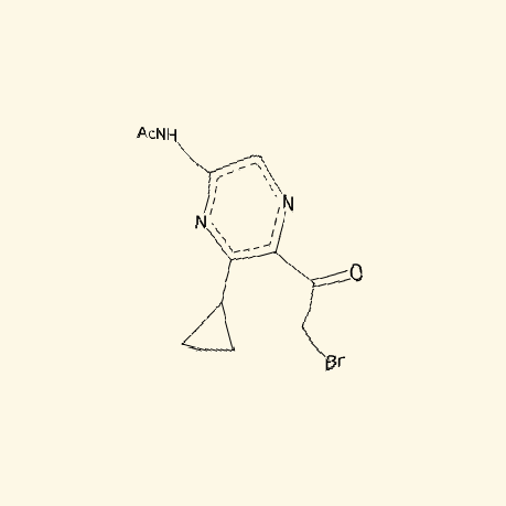 CC(=O)Nc1cnc(C(=O)CBr)c(C2CC2)n1